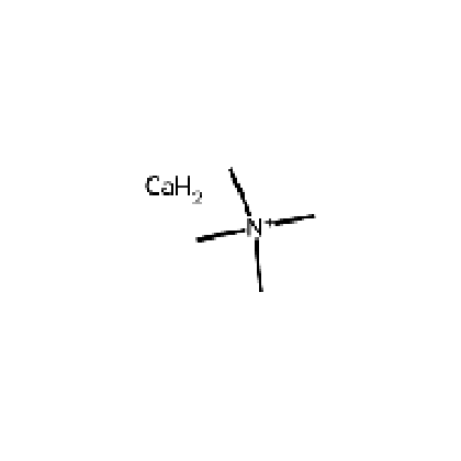 C[N+](C)(C)C.[CaH2]